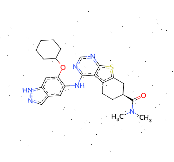 CN(C)C(=O)[C@H]1CCc2c(sc3ncnc(Nc4cc5cn[nH]c5cc4OC4CCCCC4)c23)C1